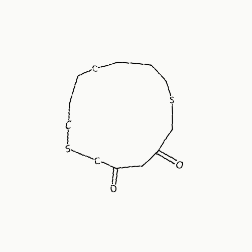 O=C1CSCCCCCCCSCC(=O)C1